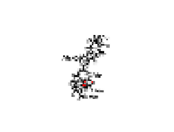 COC(C)OC(C)O[Si](OC(C)OC(C)OC)(OC(C)OC(C)OC)C(C)CCCC(=O)CCCC(C)[Si](OC(C)OC(C)OC)(OC(C)OC(C)OC)OC(C)OC(C)OC